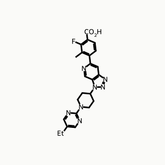 CCc1cnc(N2CCC(n3nnc4cc(-c5ccc(C(=O)O)c(F)c5C)ncc43)CC2)nc1